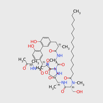 CCCCCCCCCCCCCCCC(=O)N(C)[C@H](CO)C(=O)N[C@H](C)C(=O)NCC(=O)N(C)[C@H](C(=O)N[C@@H](C)C(C)=O)c1ccc(O)c(-c2cc(C[C@H](C)C(=O)NCC(=O)N3CCCC3C(C)=O)ccc2O)c1